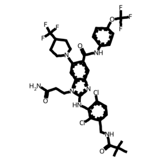 CC(C)(C)C(=O)NCc1ccc(Cl)c(Nc2nc3cc(C(=O)Nc4ccc(OC(F)(F)F)cc4)c(N4CCC(C(F)(F)F)CC4)cc3n2CCC(N)=O)c1Cl